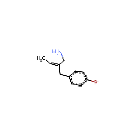 C/C=C(\CN)Cc1ccc(Br)cc1